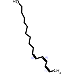 C\C=C/C=C\C=C/CCCCCCCCCO